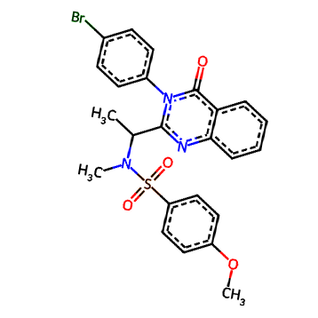 COc1ccc(S(=O)(=O)N(C)C(C)c2nc3ccccc3c(=O)n2-c2ccc(Br)cc2)cc1